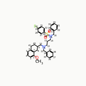 COc1cccc2c1CC(CN(CCCN(Cc1ccccc1)S(=O)(=O)c1ccc(F)cc1)Cc1ccccc1)CC2